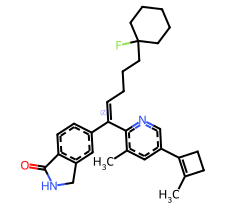 CC1=C(c2cnc(/C(=C\CCCC3(F)CCCCC3)c3ccc4c(c3)CNC4=O)c(C)c2)CC1